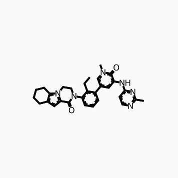 CCc1c(-c2cc(Nc3ccnc(C)n3)c(=O)n(C)c2)cccc1N1CCn2c(cc3c2CCCC3)C1=O